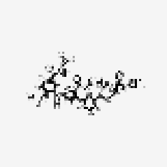 COC(=O)c1sc(Nc2cc(C(=O)NC3CC3)ccc2C)nc1-c1cccc(C2CCN(C(=O)OC)CC2)c1